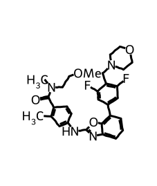 COCCN(C)C(=O)c1ccc(Nc2nc3cccc(-c4cc(F)c(CN5CCOCC5)c(F)c4)c3o2)cc1C